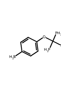 Bc1ccc(OC(F)(P)P)cc1